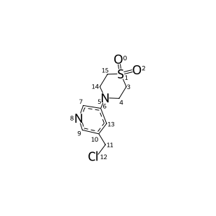 O=S1(=O)CCN(c2cncc(CCl)c2)CC1